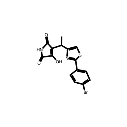 CC(C1=C(O)C(=O)NC1=O)c1csc(-c2ccc(Br)cc2)n1